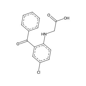 O=C(O)CNc1ccc(Cl)cc1C(=O)c1ccccc1